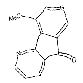 COc1cncc2c1-c1ncccc1C2=O